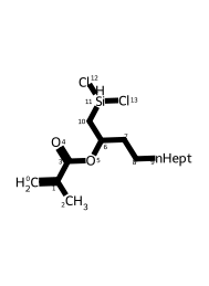 C=C(C)C(=O)OC(CCCCCCCCC)C[SiH](Cl)Cl